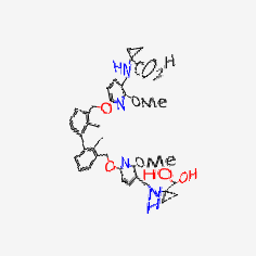 COc1nc(OCc2cccc(-c3cccc(COc4ccc(CNC5(C(O)O)CC5)c(OC)n4)c3C)c2C)ccc1CNC1(C(=O)O)CC1